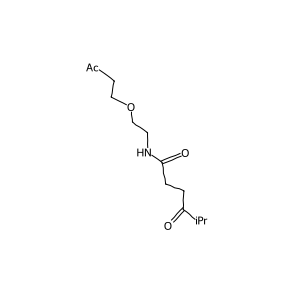 CC(=O)CCOCCNC(=O)CCC(=O)C(C)C